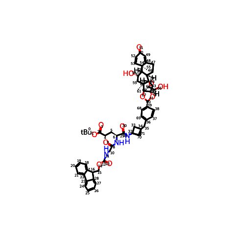 CC(C)(C)OC(=O)CC[C@H](NC(=O)CNC(=O)OCC1c2ccccc2-c2ccccc21)C(=O)NC12CC(Cc3ccc([C@@H]4O[C@@H]5C[C@H]6[C@@H]7CCC8=CC(=O)C=C[C@]8(C)[C@H]7[C@@H](O)C[C@]6(C)[C@]5(C(=O)CO)O4)cc3)(C1)C2